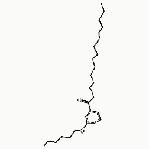 CCCCCCCCCCCCCCC(=O)c1cccc(OCCCCCC)c1